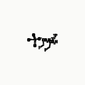 O=C(O)CF.O=C(O)CF.O=S(=O)([O-])[O-].[Tl+].[Tl+]